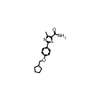 Cc1nc(-c2ccc(OCC3CCCC3)cc2)sc1C(N)=O